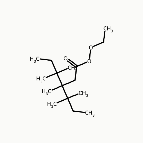 CCOOC(=O)CC(C)(C(C)(C)CC)C(C)(C)CC